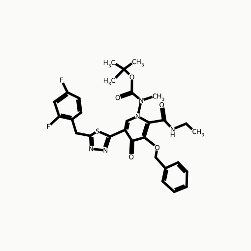 CCNC(=O)c1c(OCc2ccccc2)c(=O)c(-c2nnc(Cc3ccc(F)cc3F)s2)cn1N(C)C(=O)OC(C)(C)C